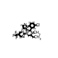 CCC(CNc1ncc(C(F)(F)F)cn1)N(C)C(=O)c1cc(Cl)ccc1-n1nccn1